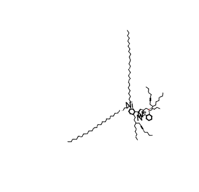 CCCCC#CCC(CCCCCC)CCc1ccccc1C1=CC(CCCCCC)=C(c2ccccc2CCC(CC#CCCCC)CCCCCC)[N+]1=[N-].CCCCCCCCCCCCCCCCCCCCCCCCC[CH2][Ni][CH2]CCCCCCCCCCCCCCCCCCCCCCCCC